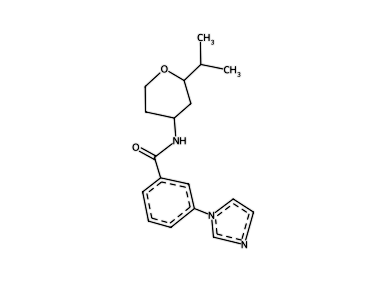 CC(C)C1CC(NC(=O)c2cccc(-n3ccnc3)c2)CCO1